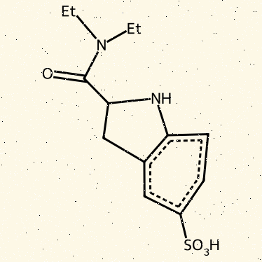 CCN(CC)C(=O)C1Cc2cc(S(=O)(=O)O)ccc2N1